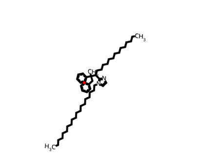 CCCCCCCCCCCCCCCCCCCn1ccnc1C(CCCCCCCCCCCCCC)C(C)(Cc1ccccc1)c1ccccc1